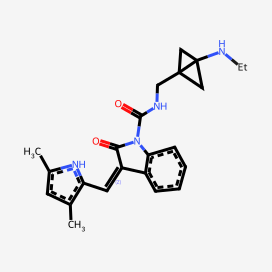 CCNC12CC1(CNC(=O)N1C(=O)/C(=C\c3[nH]c(C)cc3C)c3ccccc31)C2